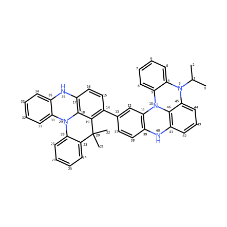 CC(C)N1c2ccccc2N2c3cc(-c4ccc5c6c4C(C)(C)c4ccccc4N6c4ccccc4N5)ccc3Nc3cccc1c32